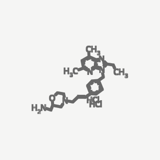 CCc1nc2c(C)cc(C)nc2n1Cc1ccc(C=CCN2CCOC(CN)C2)cc1.Cl.Cl